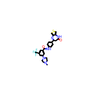 CN1CCN(c2cc(C(=O)Nc3ccc(C4=Nc5cscc5NC(=O)C4)cc3)cc(C(F)(F)F)c2)CC1